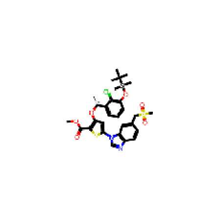 COC(=O)c1sc(-n2cnc3ccc(CS(C)(=O)=O)cc32)cc1O[C@H](C)c1cccc(O[Si](C)(C)C(C)(C)C)c1Cl